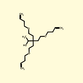 C=CCCOCCC(CCOCCC=C)(CCOCCC=C)C(C)O